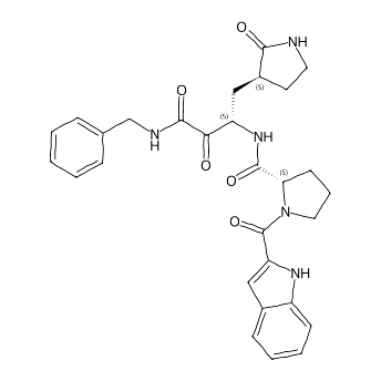 O=C(NCc1ccccc1)C(=O)[C@H](C[C@@H]1CCNC1=O)NC(=O)[C@@H]1CCCN1C(=O)c1cc2ccccc2[nH]1